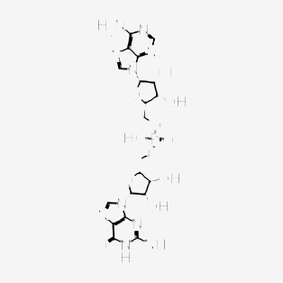 Nc1nc2c(ncn2[C@@H]2O[C@H](COP(=O)(O)OC[C@H]3O[C@@H](n4cnc5c(N)ncnc54)[C@H](O)[C@@H]3O)[C@@H](O)[C@H]2O)c(=O)[nH]1